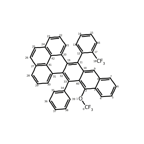 FC(F)(F)Oc1c2ccccc2cc2c(-c3ccccc3C(F)(F)F)c3c4cccc5ccc6cccc(c3c(-c3ccccc3)c12)c6c54